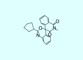 CN1C(=O)c2ccccc2C2(OC(C3CCCC3)=Nc3ccccc32)C1=O